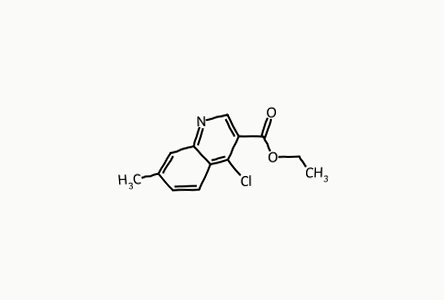 CCOC(=O)c1cnc2cc(C)ccc2c1Cl